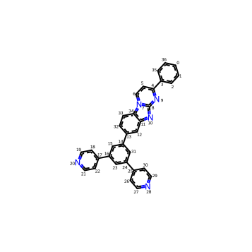 c1ccc(-c2ccn3c(n2)nc2cc(-c4cc(-c5ccncc5)cc(-c5ccncc5)c4)ccc23)cc1